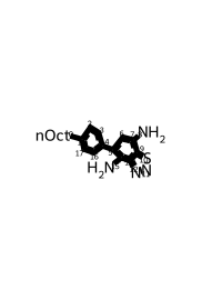 CCCCCCCCc1ccc(-c2cc(N)c3snnc3c2N)cc1